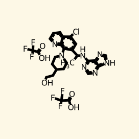 CC(Nc1ncnc2[nH]cnc12)c1cc(Cl)c2cccnc2c1N1CCC(CCO)CC1.O=C(O)C(F)(F)F.O=C(O)C(F)(F)F